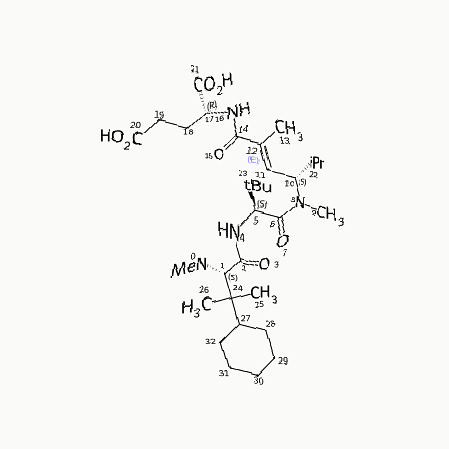 CN[C@H](C(=O)N[C@H](C(=O)N(C)[C@H](/C=C(\C)C(=O)N[C@H](CCC(=O)O)C(=O)O)C(C)C)C(C)(C)C)C(C)(C)C1CCCCC1